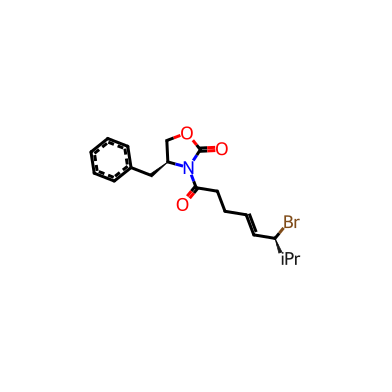 CC(C)[C@H](Br)C=CCCC(=O)N1C(=O)OC[C@@H]1Cc1ccccc1